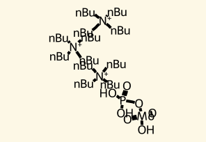 CCCC[N+](CCCC)(CCCC)CCCC.CCCC[N+](CCCC)(CCCC)CCCC.CCCC[N+](CCCC)(CCCC)CCCC.O=P(O)(O)[O][Mo](=[O])(=[O])[OH]